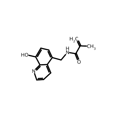 C=C(C)C(=O)NCc1ccc(O)c2ncccc12